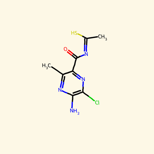 C/C(S)=N/C(=O)c1nc(Cl)c(N)nc1C